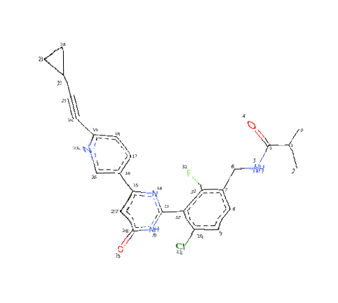 CC(C)C(=O)NCc1ccc(Cl)c(-c2nc(-c3ccc(C#CC4CC4)nc3)cc(=O)[nH]2)c1F